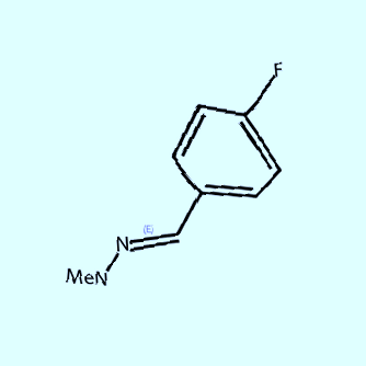 CN/N=C/c1ccc(F)cc1